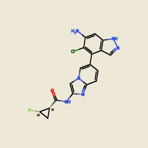 Nc1cc2[nH]ncc2c(-c2ccc3nc(NC(=O)[C@@H]4C[C@@H]4F)cn3c2)c1Cl